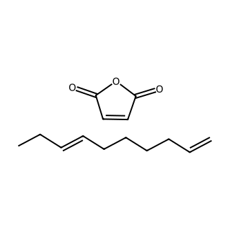 C=CCCCCC=CCC.O=C1C=CC(=O)O1